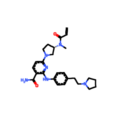 C=CC(=O)N(C)[C@H]1CCN(c2ccc(C(N)=O)c(Nc3ccc(CCN4CCCC4)cc3)n2)C1